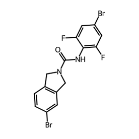 O=C(Nc1c(F)cc(Br)cc1F)N1Cc2ccc(Br)cc2C1